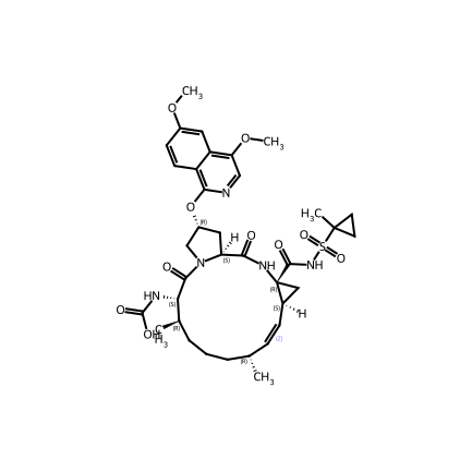 COc1ccc2c(O[C@@H]3C[C@H]4C(=O)N[C@]5(C(=O)NS(=O)(=O)C6(C)CC6)C[C@H]5/C=C\[C@H](C)CCC[C@@H](C)[C@H](NC(=O)O)C(=O)N4C3)ncc(OC)c2c1